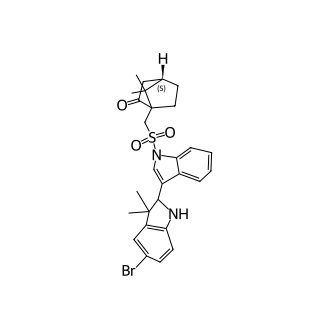 CC1(C)c2cc(Br)ccc2NC1c1cn(S(=O)(=O)CC23CC[C@@H](CC2=O)C3(C)C)c2ccccc12